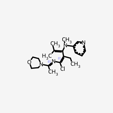 CC/C(C(=C(C)C)N(C)c1cccnc1)=C(Cl)/N=C(\C)N1CCOCC1